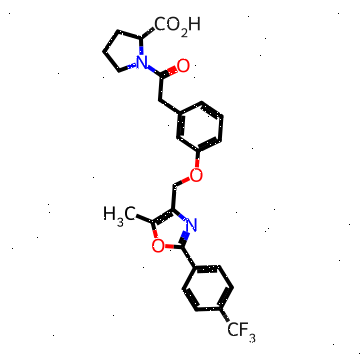 Cc1oc(-c2ccc(C(F)(F)F)cc2)nc1COc1cccc(CC(=O)N2CCCC2C(=O)O)c1